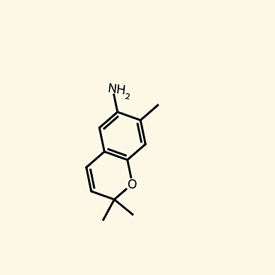 Cc1cc2c(cc1N)C=CC(C)(C)O2